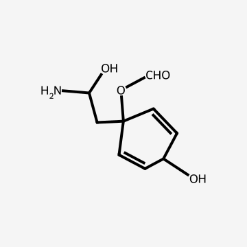 NC(O)CC1(OC=O)C=CC(O)C=C1